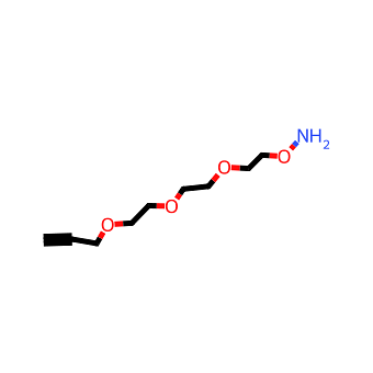 C#CCOCCOCCOCCON